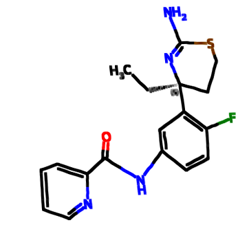 CC[C@@]1(c2cc(NC(=O)c3ccccn3)ccc2F)CCSC(N)=N1